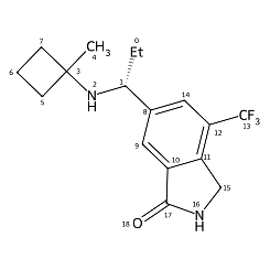 CC[C@@H](NC1(C)CCC1)c1cc2c(c(C(F)(F)F)c1)CNC2=O